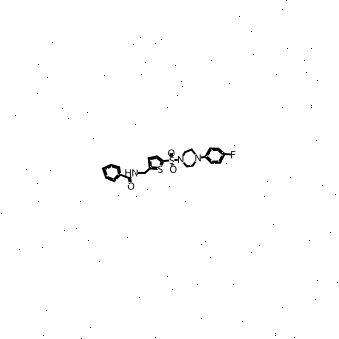 O=C(NCc1ccc(S(=O)(=O)N2CCN(c3ccc(F)cc3)CC2)s1)c1ccccc1